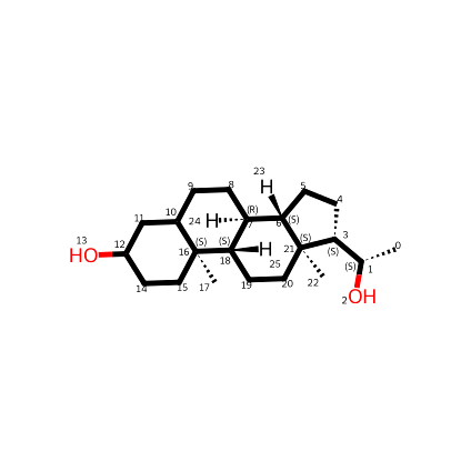 C[C@H](O)[C@H]1CC[C@H]2[C@@H]3CCC4CC(O)CC[C@]4(C)[C@H]3CC[C@]12C